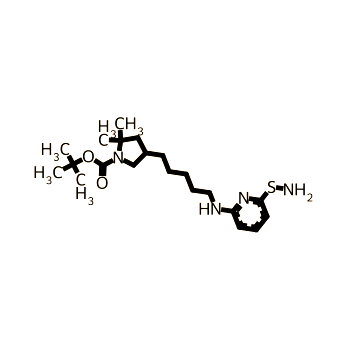 CC(C)(C)OC(=O)N1CC(CCCCCNc2cccc(SN)n2)CC1(C)C